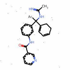 CC(=N)NC(C(C)=O)(C1=CC=CCC1)c1cccc(NC(=O)c2cccnc2)c1